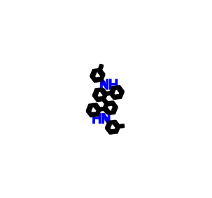 Cc1cccc(Nc2cccc(-c3cccc(Nc4cccc(C)c4)c3-c3ccccc3)c2-c2ccccc2)c1